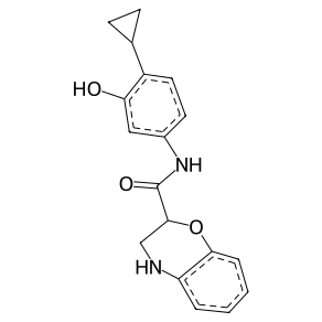 O=C(Nc1ccc(C2CC2)c(O)c1)C1CNc2ccccc2O1